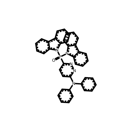 O=P(c1ccc(N(c2ccccc2)c2ccccc2)nn1)(n1c2ccccc2c2ccccc21)n1c2ccccc2c2ccccc21